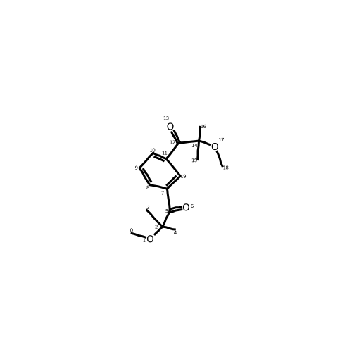 COC(C)(C)C(=O)c1c[c]cc(C(=O)C(C)(C)OC)c1